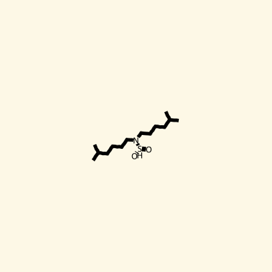 CC(C)CCCCN(CCCCC(C)C)[SH](=O)=O